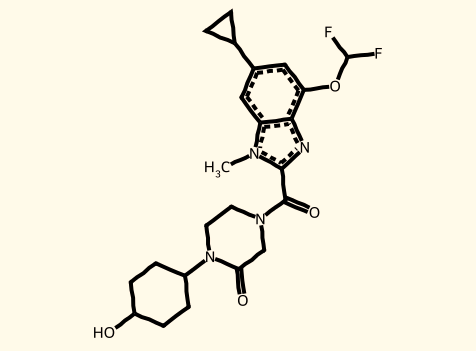 Cn1c(C(=O)N2CCN(C3CCC(O)CC3)C(=O)C2)nc2c(OC(F)F)cc(C3CC3)cc21